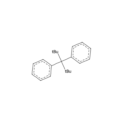 CC(C)(C)C(c1ccccc1)(c1ccccc1)C(C)(C)C